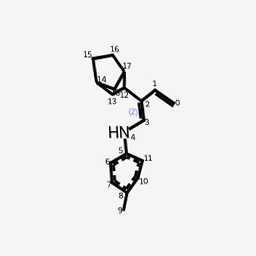 C=C/C(=C/Nc1ccc(C)cc1)C1CC2CCC1C2